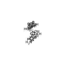 C#CC1(O)[C@@H](O)[C@@H](COP(=O)(O)OP(=O)(O)OP(=O)(O)O)O[C@H]1n1cc(F)c(N)nc1=O